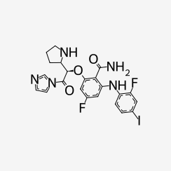 NC(=O)c1c(Nc2ccc(I)cc2F)cc(F)cc1O[C@@H](C(=O)n1ccnc1)C1CCCN1